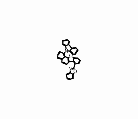 c1cc(-n2c3ccccc3c3ccccc32)c2c(c1)ccc1c2oc2cccc(-c3nc4ccccc4o3)c21